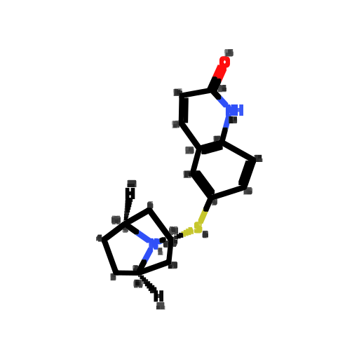 CN1[C@@H]2CC[C@H]1C[C@H](Sc1ccc3[nH]c(=O)ccc3c1)C2